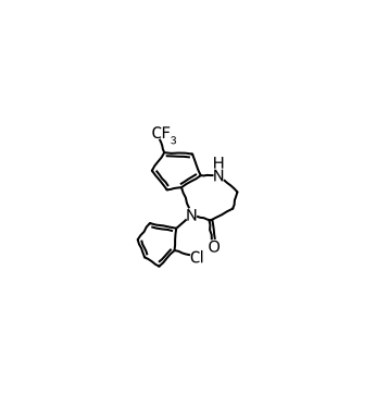 O=C1CCNc2cc(C(F)(F)F)ccc2N1c1ccccc1Cl